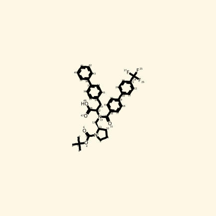 CC(C)(C)OC(=O)N1CCC[C@@H]1CN(C(=O)c1ccc(-c2ccc(C(F)(F)F)cc2)cc1)C(Cc1ccc(-c2ccccc2)cc1)C(=O)O